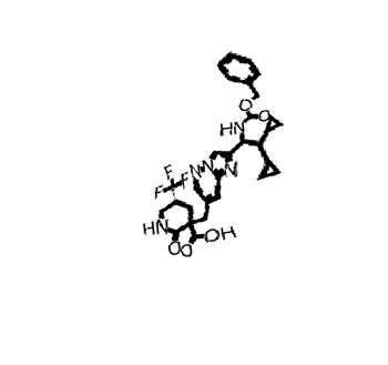 O=C(NC(c1cn2ncc(CC3(C(=O)O)C[C@@H](C(F)(F)F)CNC3=O)cc2n1)C(C1CC1)C1CC1)OCc1ccccc1